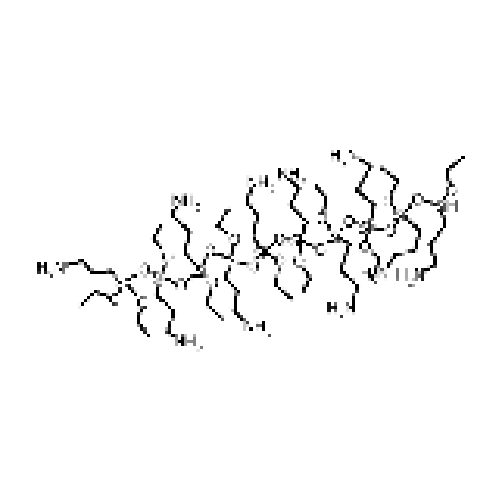 CCO[SiH](CCCN)O[Si](CCCN)(OCC)O[Si](CCCN)(OCC)O[Si](CCCN)(OCC)O[Si](CCCN)(OCC)O[Si](CCCN)(OCC)O[Si](CCCN)(OCC)O[Si](CCCN)(OCC)O[Si](CCCN)(OCC)O[Si](CCCN)(OCC)OCC